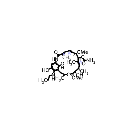 C=CCNc1c(O)cc2c(O)c1CC(C)C[C@H](OC)[C@H](O)[C@@H](C)/C=C(\C)[C@H](OC(N)=O)[C@@H](OC)/C=C\C=C(/C)C(=O)N2